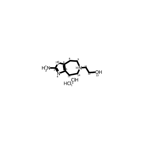 Cl.Cl.Nc1nc2c(s1)CCN(CCO)CC2